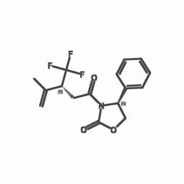 C=C(C)[C@@H](CC(=O)N1C(=O)OC[C@@H]1c1ccccc1)C(F)(F)F